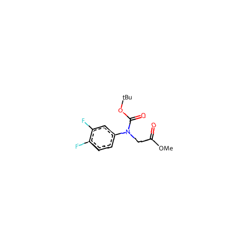 COC(=O)CN(C(=O)OC(C)(C)C)c1ccc(F)c(F)c1